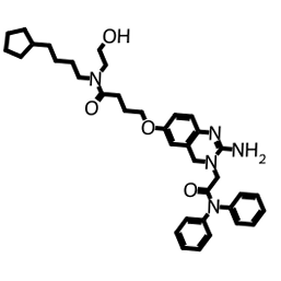 NC1=Nc2ccc(OCCCC(=O)N(CCO)CCCCC3CCCC3)cc2CN1CC(=O)N(c1ccccc1)c1ccccc1